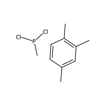 CP(Cl)Cl.Cc1ccc(C)c(C)c1